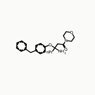 CCCC(N)(CC(=O)N1CCOCC1)Oc1ccc(Cc2ccccc2)cc1